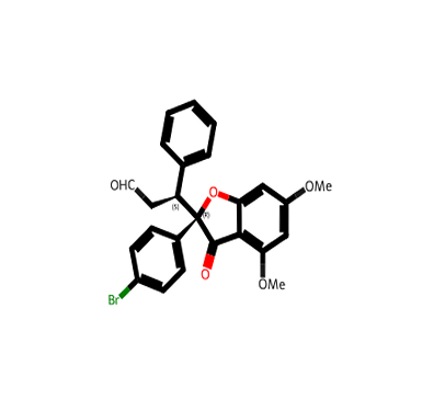 COc1cc(OC)c2c(c1)O[C@@](c1ccc(Br)cc1)([C@@H](CC=O)c1ccccc1)C2=O